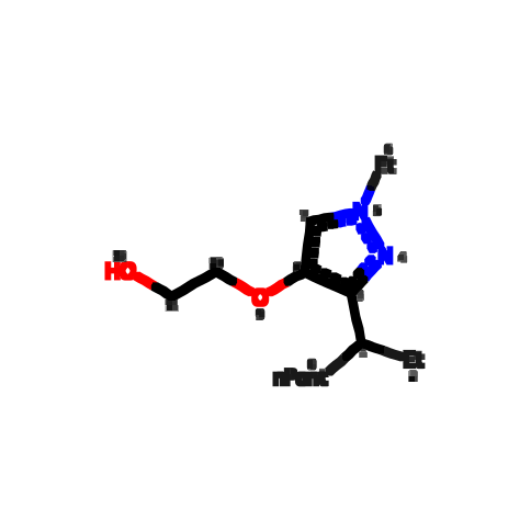 CCCCCC(CC)c1nn(CC)cc1OCCO